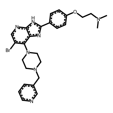 CN(C)CCOc1ccc(-c2nc3c(N4CCN(Cc5cccnc5)CC4)c(Br)cnc3[nH]2)cc1